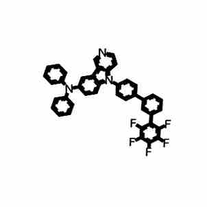 Fc1c(F)c(F)c(-c2cccc(-c3ccc(-n4c5ccncc5c5cc(N(c6ccccc6)c6ccccc6)ccc54)cc3)c2)c(F)c1F